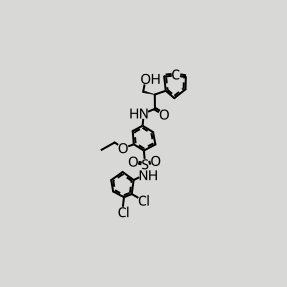 CCOc1cc(NC(=O)[C@@H](CO)c2ccccc2)ccc1S(=O)(=O)Nc1cccc(Cl)c1Cl